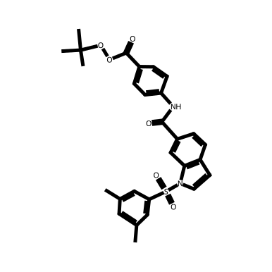 Cc1cc(C)cc(S(=O)(=O)n2ccc3ccc(C(=O)Nc4ccc(C(=O)OOC(C)(C)C)cc4)cc32)c1